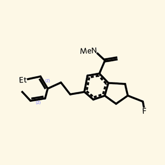 C=C(NC)c1cc(CCC(/C=C\C)=C/CC)cc2c1CC(CF)C2